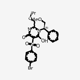 COC[C@@H](c1ccccc1)n1c(COC(C)C)nc(=O)c(S(=O)(=O)c2ccc(Br)cc2)c1O